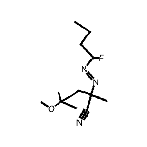 CCCC(F)N=NC(C)(C#N)CC(C)(C)OC